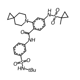 CC(C)(C)NS(=O)(=O)c1cccc(NC(=O)c2ccc(NS(=O)(=O)C3(C)CC3)cc2N2CCC3(CC2)CC3)c1